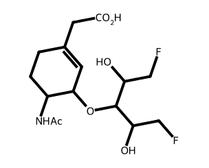 CC(=O)NC1CCC(CC(=O)O)=CC1OC(C(O)CF)C(O)CF